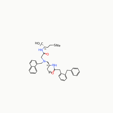 CSCC[C@H](NC(=O)CN(Cc1cccc2ccccc12)C[C@H](CC(C)C)NC(=O)Cc1ccccc1Cc1ccccc1)C(=O)O